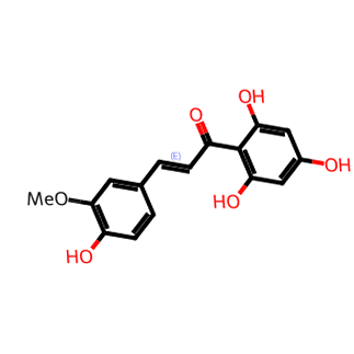 COc1cc(/C=C/C(=O)c2c(O)cc(O)cc2O)ccc1O